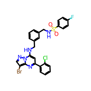 O=S(=O)(NCc1cccc(CNc2cc(-c3ccccc3Cl)nc3c(Br)cnn23)c1)c1ccc(F)cc1